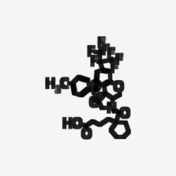 Cc1ccc(S(=O)(=O)C23CCN(C(=O)C4(CCCC(=O)O)CCCCC4)C2COc2cc(C(F)(C(F)(F)F)C(F)(F)F)ccc23)cc1